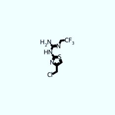 NC(=NCC(F)(F)F)Nc1nc(CCl)cs1